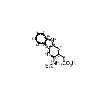 CCNC(=O)C(CC(=O)O)Sc1nc2ccccc2[nH]1